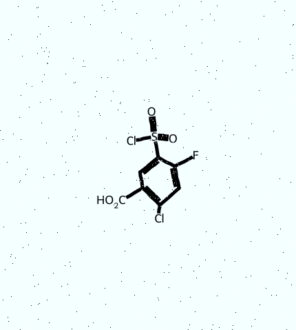 O=C(O)c1cc(S(=O)(=O)Cl)c(F)cc1Cl